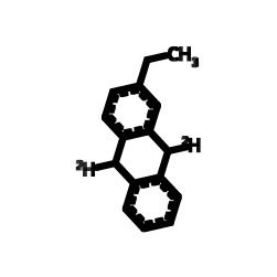 [2H]C1c2ccccc2C([2H])c2cc(CC)ccc21